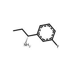 CC[C@@H](N)c1cccc(F)c1